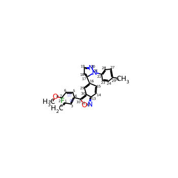 C=C(F)/C=C(\C=C/COC)c1onc2ccc(-c3ccnn3-c3ccc(C)cc3)cc12